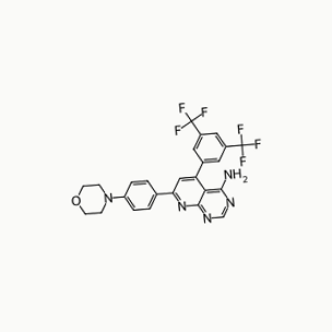 Nc1ncnc2nc(-c3ccc(N4CCOCC4)cc3)cc(-c3cc(C(F)(F)F)cc(C(F)(F)F)c3)c12